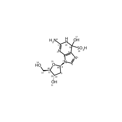 NC1=Nc2c(ncn2[C@H]2C[C@H](O)[C@@H](CO)O2)C(O)(S(=O)(=O)O)N1